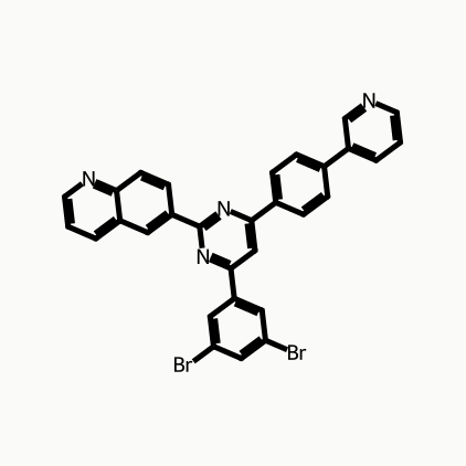 Brc1cc(Br)cc(-c2cc(-c3ccc(-c4cccnc4)cc3)nc(-c3ccc4ncccc4c3)n2)c1